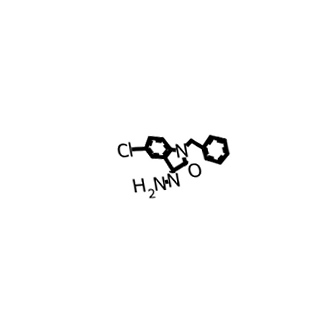 N/N=C1/C(=O)N(Cc2ccccc2)c2ccc(Cl)cc21